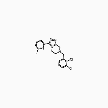 Fc1cccc(-c2nnc3n2CCN(Cc2cccc(Cl)c2Cl)C3)n1